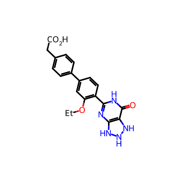 CCOc1cc(-c2ccc(CC(=O)O)cc2)ccc1-c1nc2c(c(=O)[nH]1)NNN2